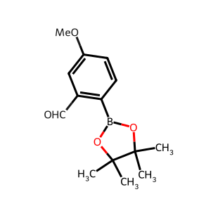 COc1ccc(B2OC(C)(C)C(C)(C)O2)c(C=O)c1